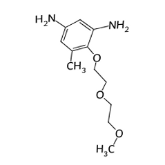 COCCOCCOc1c(C)cc(N)cc1N